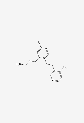 Cc1ccccc1CCc1ccc(F)cc1CCCN